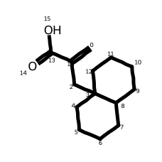 C=C(CC12CCCCC1CCCC2)C(=O)O